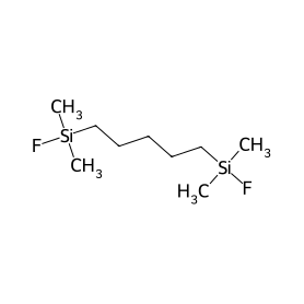 C[Si](C)(F)CCCCC[Si](C)(C)F